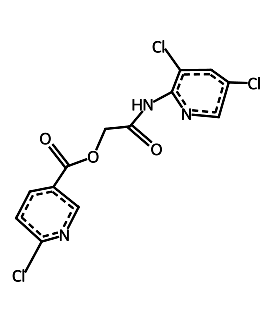 O=C(COC(=O)c1ccc(Cl)nc1)Nc1ncc(Cl)cc1Cl